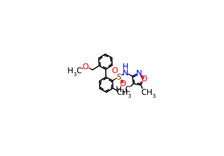 COCc1ccccc1-c1cccc(C)c1S(=O)(=O)Nc1noc(C)c1C